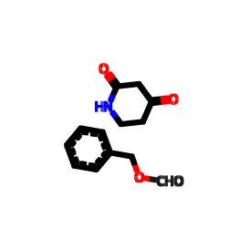 O=C1CCNC(=O)C1.O=COCc1ccccc1